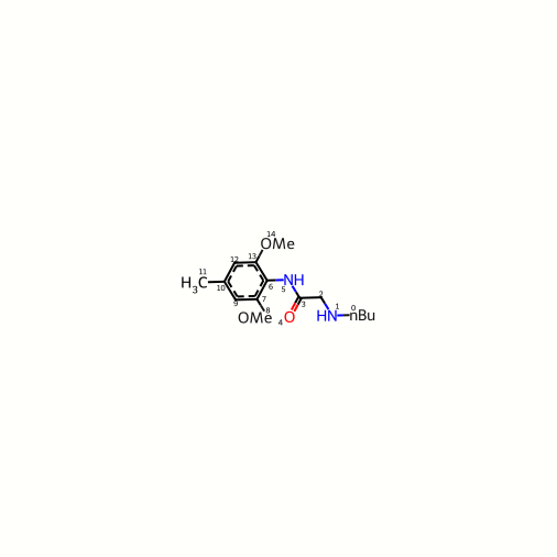 CCCCNCC(=O)Nc1c(OC)cc(C)cc1OC